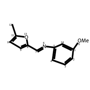 COc1cccc(/N=C/c2ccc(C)o2)c1